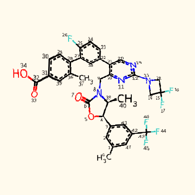 Cc1cc([C@H]2OC(=O)N(Cc3nc(N4CC(F)(F)C4)ncc3-c3ccc(F)c(-c4ccc(C(=O)O)cc4C)c3)[C@H]2C)cc(C(F)(F)F)c1